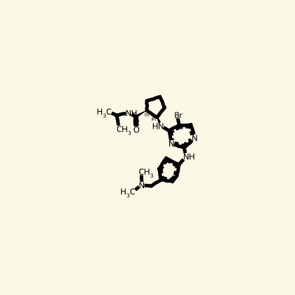 CC(C)NC(=O)[C@H]1CCC[C@H]1Nc1nc(Nc2ccc(CN(C)C)cc2)ncc1Br